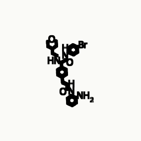 Nc1ccccc1NC(=O)/C=C/c1ccc(C(NCCC2CCOCC2)C(=O)Nc2ccc(Br)cc2)cc1